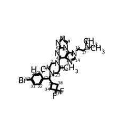 C[C@@H]1CN(c2nc3nncn3c3c2ncn3CCN(C)C)[C@@H](C)CN1C(c1ccc(Br)cc1)C1CC(F)(F)C1